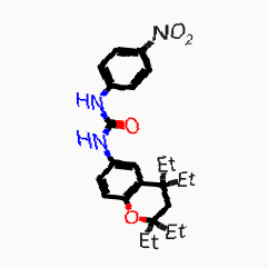 CCC1(CC)CC(CC)(CC)c2cc(NC(=O)Nc3ccc([N+](=O)[O-])cc3)ccc2O1